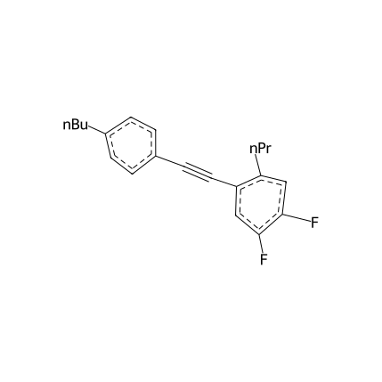 CCCCc1ccc(C#Cc2cc(F)c(F)cc2CCC)cc1